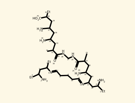 CCC(N)CC(CC)N=CCCCC=NC(CC(N)CC)CC(N)CC(C)C(=O)NCNC(=O)C(C)CC(N)CC(N)CC(CC)C(=O)O